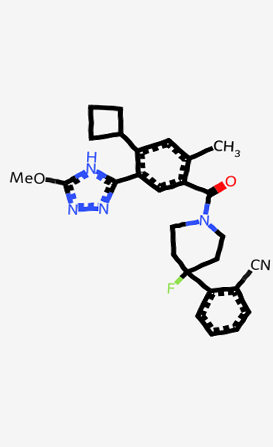 COc1nnc(-c2cc(C(=O)N3CCC(F)(c4ccccc4C#N)CC3)c(C)cc2C2CCC2)[nH]1